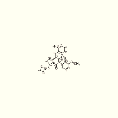 COc1cccc(-c2c(C)c(Cc3ccccc3F)c3n(c2=O)C(CN2CCC2)CS3)c1F